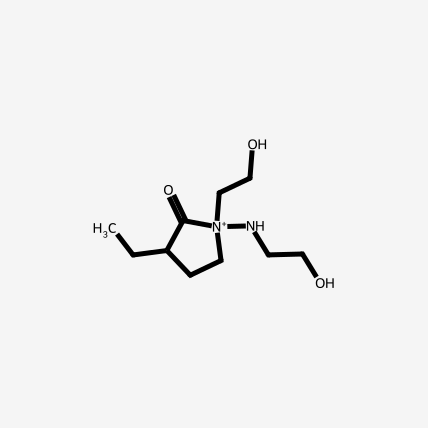 CCC1CC[N+](CCO)(NCCO)C1=O